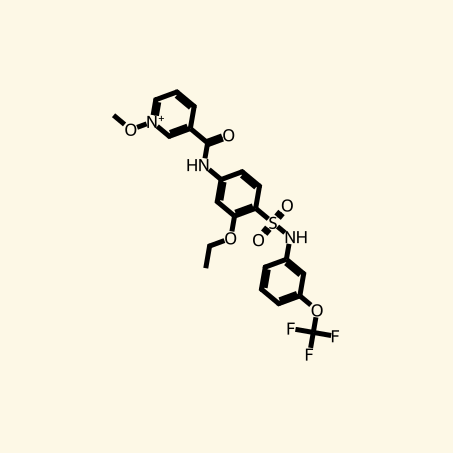 CCOc1cc(NC(=O)c2ccc[n+](OC)c2)ccc1S(=O)(=O)Nc1cccc(OC(F)(F)F)c1